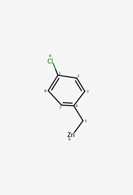 Clc1ccc([CH2][Zn])cc1